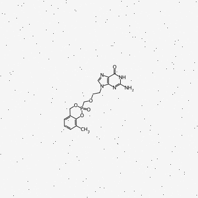 Cc1cccc2c1OP(=O)(COCCn1cnc3c(=O)[nH]c(N)nc31)OC2